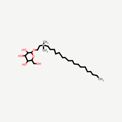 CCCCCCCCCCCCCCCCCC[Si](C)(C)CCOC1OC(CO)C(O)C(O)C1O